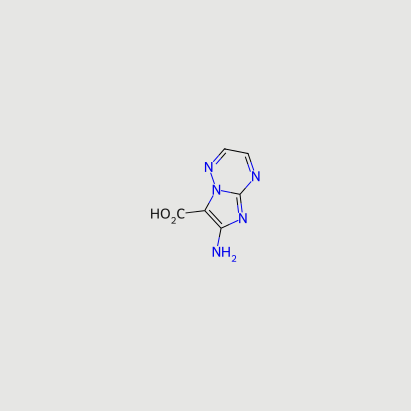 Nc1nc2nccnn2c1C(=O)O